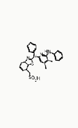 Cc1cc(N(C2=NC3CC=CC(CS(=O)(=O)O)C3S2)c2ccccc2)nc(Nc2ccccc2)c1C